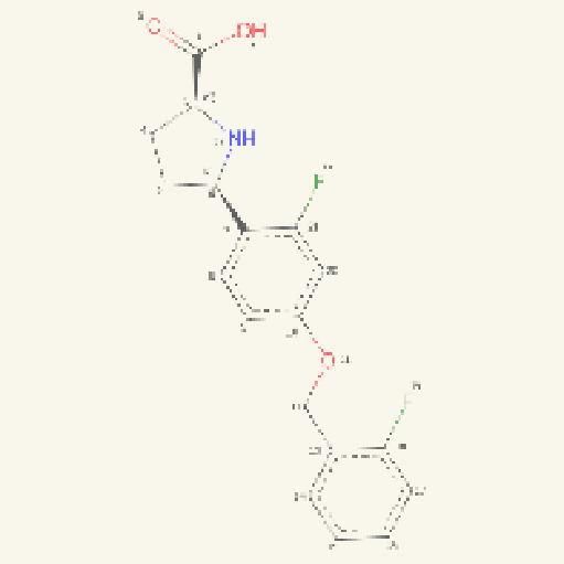 O=C(O)[C@@H]1CC[C@H](c2ccc(OCc3ccccc3F)cc2F)N1